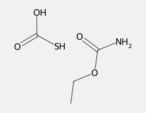 CCOC(N)=O.O=C(O)S